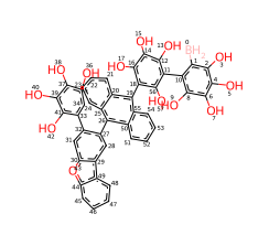 Bc1c(O)c(O)c(O)c(O)c1-c1c(O)c(O)c(O)c(-c2c3ccccc3c(-c3cc4c(cc3-c3cc(O)c(O)c(O)c3O)oc3ccccc34)c3ccccc23)c1O